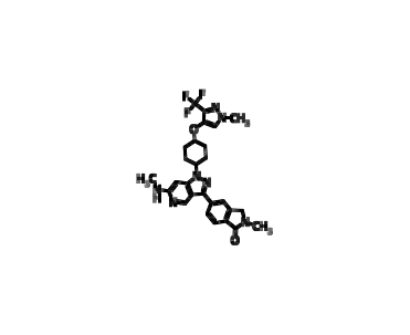 CNc1cc2c(cn1)c(-c1ccc3c(c1)CN(C)C3=O)nn2C1CCC(Oc2cn(C)nc2C(F)(F)F)CC1